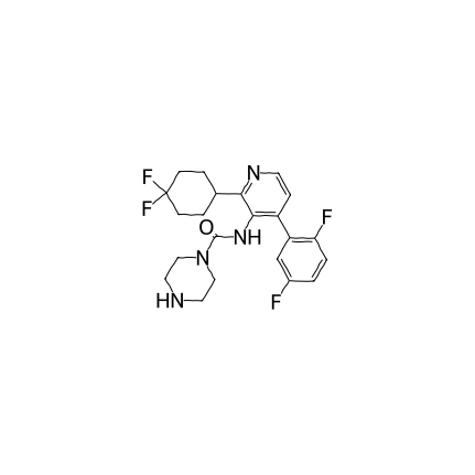 O=C(Nc1c(-c2cc(F)ccc2F)ccnc1C1CCC(F)(F)CC1)N1CCNCC1